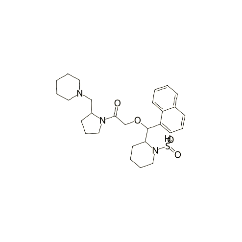 O=C(COC(c1cccc2ccccc12)C1CCCCN1[SH](=O)=O)N1CCCC1CN1CCCCC1